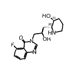 O=c1c2c(F)cccc2ncn1CC(O)C[C@H]1NCCC[C@@H]1O